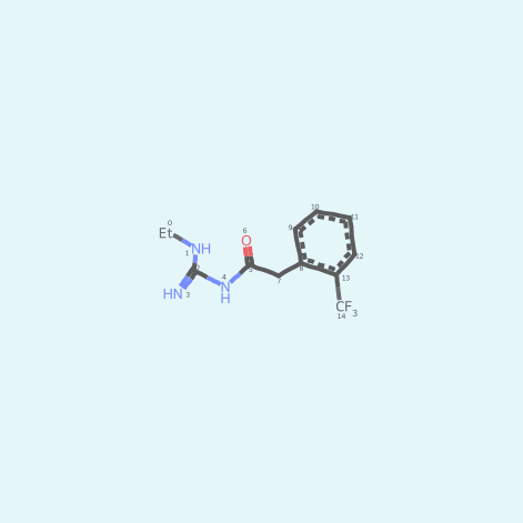 CCNC(=N)NC(=O)Cc1ccccc1C(F)(F)F